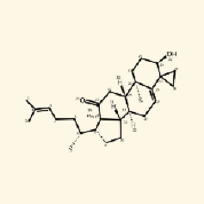 CC(C)=CCC[C@@H](C)[C@H]1CC[C@H]2[C@@H]3CC=C4C5(CC5)[C@H](O)CC[C@]4(C)[C@H]3CC(=O)[C@]12C